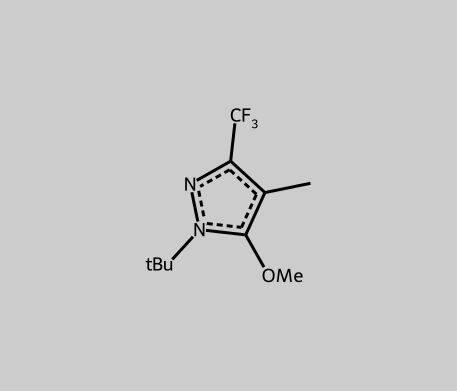 COc1c(C)c(C(F)(F)F)nn1C(C)(C)C